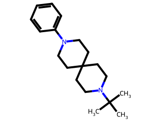 CC(C)(C)N1CCC2(CCN(c3ccccc3)CC2)CC1